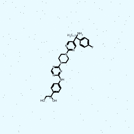 C[C@](N)(c1ccc(F)cc1)c1cnc(N2CCN(c3ncnc(Nc4ccc([C@@H](O)CO)cc4)n3)CC2)nc1